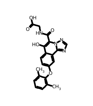 Cc1cccc(C)c1Oc1ccc2c(O)c(C(=O)NCC(=O)O)n3ncnc3c2c1